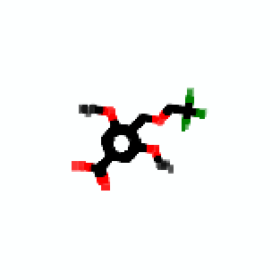 COc1cc(C(=O)O)cc(OC)c1COCC(F)(F)F